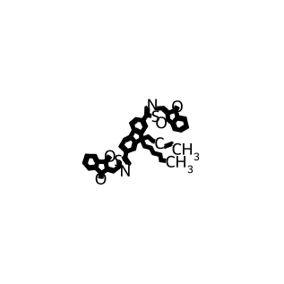 CCCCCCC1(CCCCCC)c2cc(-c3cnc(C=C4C(=O)c5ccccc5C4=O)s3)ccc2-c2ccc(-c3cnc(C=C4C(=O)c5ccccc5C4=O)s3)cc21